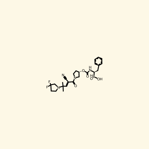 CC(C)(C=C(C#N)C(=O)N1CC[C@H](OC(=O)N[C@@H](Cc2ccccc2)B(O)O)C1)N1CCC(F)(F)C1